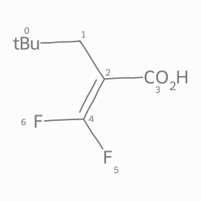 CC(C)(C)CC(C(=O)O)=C(F)F